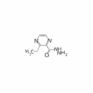 CCc1nccnc1C(=O)NN